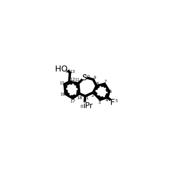 CC(C)C1c2cc(F)ccc2CSc2c(CO)cccc21